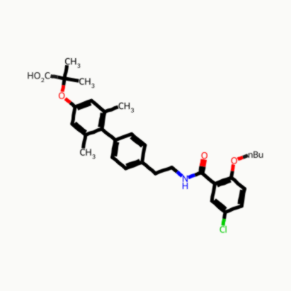 CCCCOc1ccc(Cl)cc1C(=O)NCCc1ccc(-c2c(C)cc(OC(C)(C)C(=O)O)cc2C)cc1